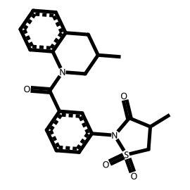 CC1Cc2ccccc2N(C(=O)c2cccc(N3C(=O)C(C)CS3(=O)=O)c2)C1